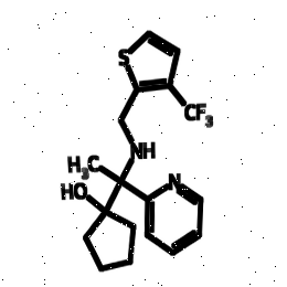 CC(NCc1sccc1C(F)(F)F)(c1ccccn1)C1(O)CCCC1